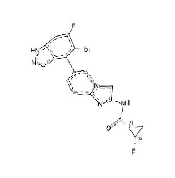 O=C(Nc1cn2cc(-c3c(Br)c(F)cc4[nH]ncc34)ccc2n1)[C@@H]1C[C@@H]1F